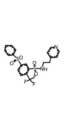 O=S(=O)(NCCc1ccncc1)c1cc(S(=O)(=O)c2ccccc2)ccc1C(F)(F)F